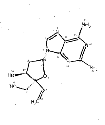 C=C[C@]1(CO)O[C@@H](n2cnc3c(N)nc(N)nc32)C[C@@H]1O